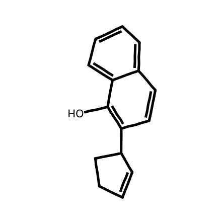 Oc1c(C2C=CCC2)ccc2ccccc12